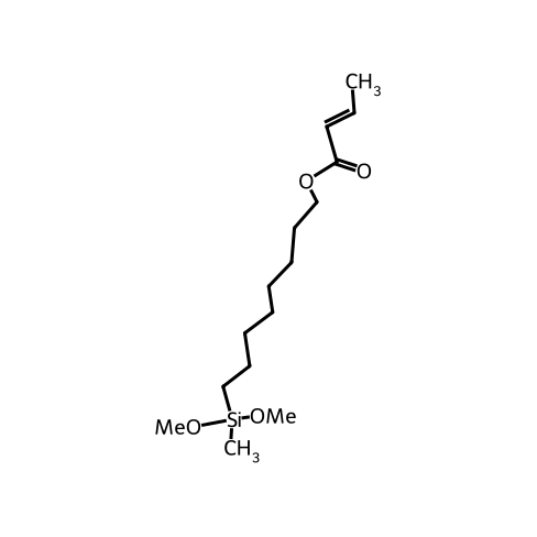 CC=CC(=O)OCCCCCCCC[Si](C)(OC)OC